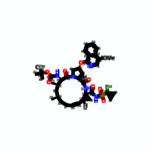 COc1cnc(O[C@@H]2C[C@H]3C(=O)N[C@]4(C(=O)NS(=O)(=O)C5(F)CC5)C[C@@H]4/C=C\CC[C@@H](C)C[C@@H](C)[C@H](NC(=O)OC(C)(C)C(F)(F)F)C(=O)N3C2)c2ccccc12